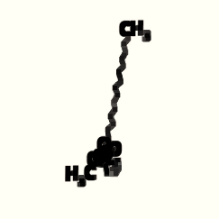 CCCCCCCCCCCCCCCCOS(=O)(=O)c1ccccc1C(C)C